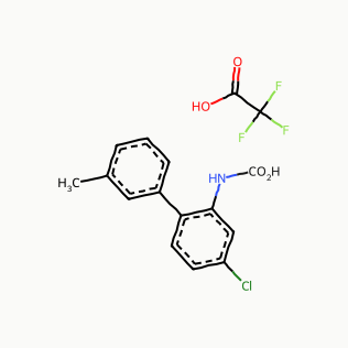 Cc1cccc(-c2ccc(Cl)cc2NC(=O)O)c1.O=C(O)C(F)(F)F